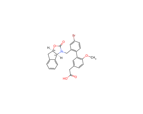 COc1ccc(CC(=O)O)cc1-c1ccc(Br)cc1CN1C(=O)O[C@@H]2Cc3ccccc3[C@@H]21